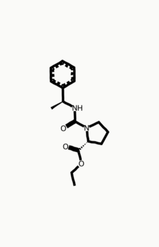 CCOC(=O)[C@H]1CCCN1C(=O)N[C@@H](C)c1ccccc1